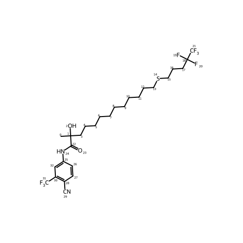 CC(O)(CCCCCCCCCCCSCCCC(F)(F)C(F)(F)F)C(=O)Nc1ccc(C#N)c(C(F)(F)F)c1